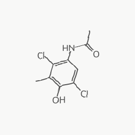 CC(=O)Nc1cc(Cl)c(O)c(C)c1Cl